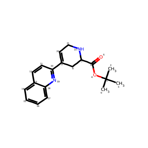 CC(C)(C)OC(=O)C1CC(c2ccc3ccccc3n2)=CCN1